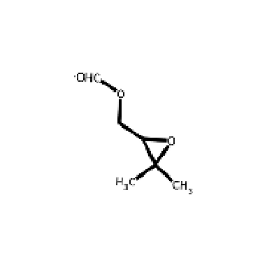 CC1(C)OC1CO[C]=O